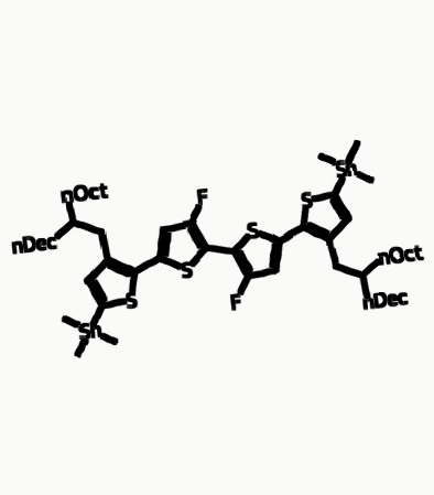 CCCCCCCCCCC(CCCCCCCC)Cc1c[c]([Sn]([CH3])([CH3])[CH3])sc1-c1cc(F)c(-c2sc(-c3s[c]([Sn]([CH3])([CH3])[CH3])cc3CC(CCCCCCCC)CCCCCCCCCC)cc2F)s1